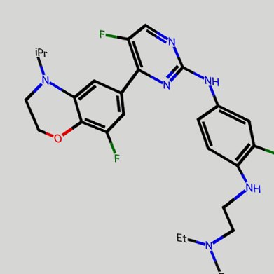 CCN(CC)CCNc1ccc(Nc2ncc(F)c(-c3cc(F)c4c(c3)N(C(C)C)CCO4)n2)cc1F